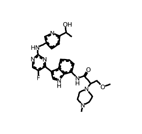 COCC(C(=O)Nc1cccc2c(-c3nc(Nc4ccc(C(C)O)nc4)ncc3F)c[nH]c12)N1CCN(C)CC1